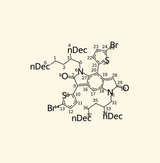 CCCCCCCCCCCCC(CCCCCCCCCC)CN1C(=O)C(c2ccc(Br)s2)=c2cc3c(c(-c4ccc(Br)s4)c21)=CC(=O)N3CC(CCCCCCCCCC)CCCCCCCCCCCC